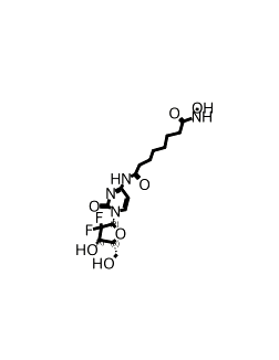 O=C(CCCCCCC(=O)Nc1ccn([C@@H]2O[C@H](CO)[C@@H](O)C2(F)F)c(=O)n1)NO